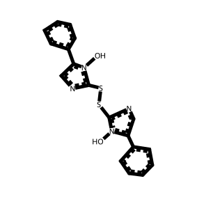 On1c(-c2ccccc2)cnc1SSc1ncc(-c2ccccc2)n1O